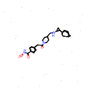 O=C(NO)c1ccc(CC(=O)N2CCC(CNC3CC3c3ccccc3)CC2)cc1